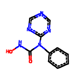 O=C(NO)N(c1ccccc1)c1ncncn1